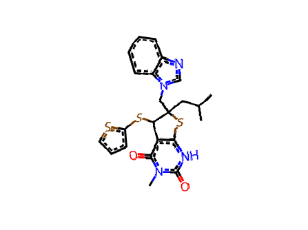 CC(C)CC1(Cn2cnc3ccccc32)Sc2[nH]c(=O)n(C)c(=O)c2C1Sc1cccs1